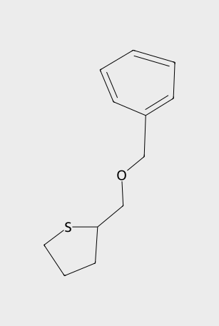 c1ccc(COCC2CCCS2)cc1